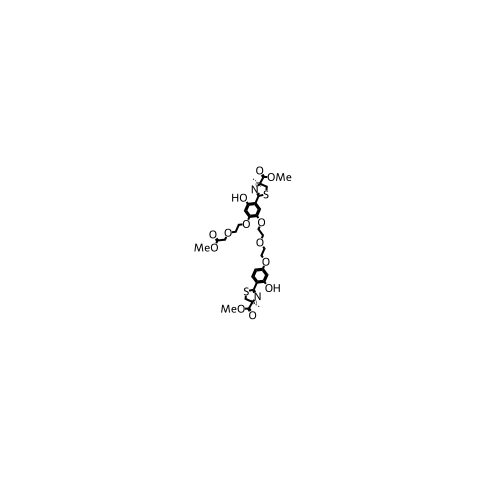 COC(=O)COCCOc1cc(O)c(C2=N[C@@](C)(C(=O)OC)CS2)cc1OCCOCCOc1ccc(C2=N[C@@](C)(C(=O)OC)CS2)c(O)c1